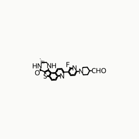 C[C@@H]1CNc2c(sc3ccc4nc(-c5ccc(N6CCC(C=O)CC6)nc5F)ccc4c23)C(=O)N1